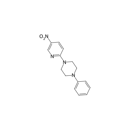 O=[N+]([O-])c1ccc(N2CCN(c3ccccc3)CC2)nc1